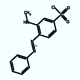 CNc1cc(S(=O)(=O)Cl)ccc1/N=N/c1ccccc1